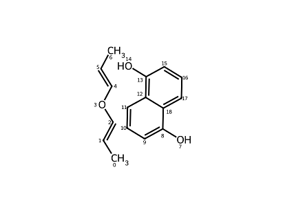 CC=COC=CC.Oc1cccc2c(O)cccc12